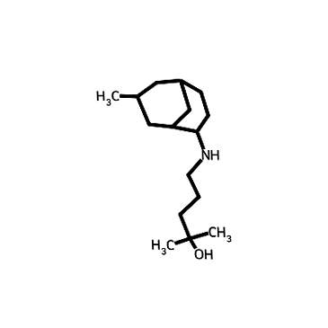 CC1CC2CCC(NCCCC(C)(C)O)C(C1)C2